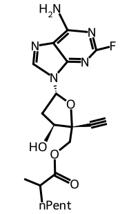 C#C[C@]1(COC(=O)C(C)CCCCC)O[C@@H](n2cnc3c(N)nc(F)nc32)C[C@@H]1O